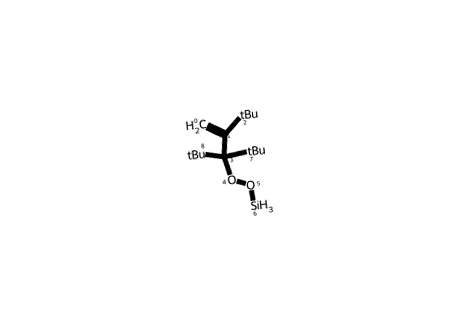 C=C(C(C)(C)C)C(OO[SiH3])(C(C)(C)C)C(C)(C)C